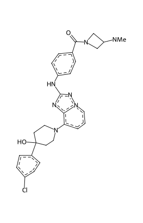 CNC1CN(C(=O)c2ccc(Nc3nc4c(N5CCC(O)(c6ccc(Cl)cc6)CC5)cccn4n3)cc2)C1